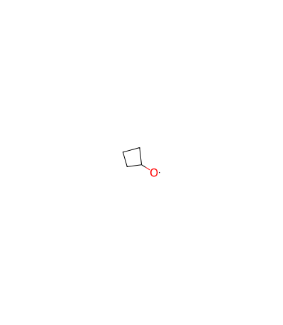 [O]C1CCC1